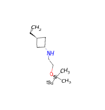 C=C[C@H]1C[C@H](NCCO[Si](C)(C)C(C)(C)C)C1